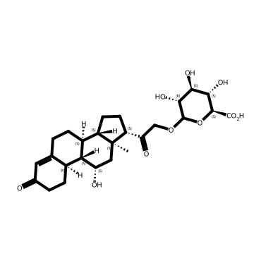 C[C@]12C[C@H](O)[C@H]3[C@@H](CCC4=CC(=O)CC[C@@H]43)[C@@H]1CC[C@@H]2C(=O)COC1O[C@H](C(=O)O)[C@@H](O)[C@H](O)[C@H]1O